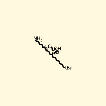 CC(C)(C)CCCCCCCCCCCCCCCCCN.CCCS(=O)(=O)O